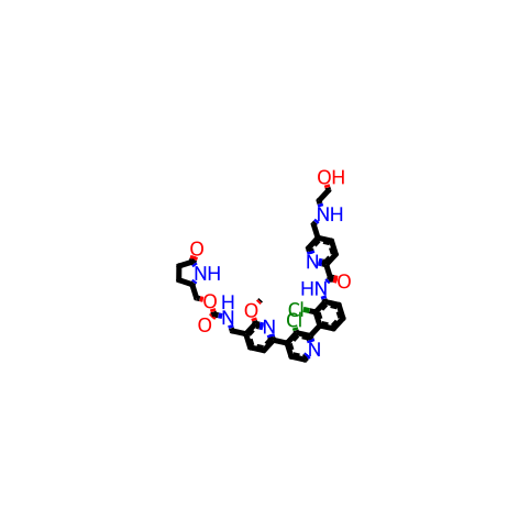 COc1nc(-c2ccnc(-c3cccc(NC(=O)c4ccc(CNCCO)cn4)c3Cl)c2Cl)ccc1CNC(=O)OCC1CCC(=O)N1